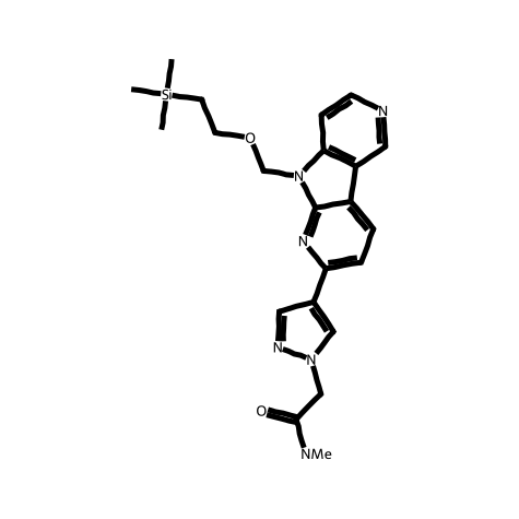 CNC(=O)Cn1cc(-c2ccc3c4cnccc4n(COCC[Si](C)(C)C)c3n2)cn1